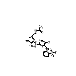 C=C/C(OC)=C(\C=C(/C)CCNC(=O)C(F)(F)F)Nc1ncc(Cl)c(Nc2ccccc2S(=O)(=O)C(C)C)n1